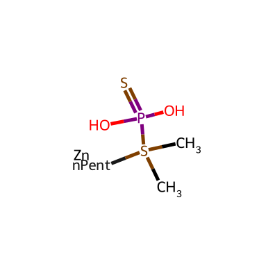 CCCCCS(C)(C)P(O)(O)=S.[Zn]